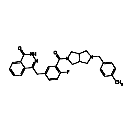 Cc1ccc(CN2CC3CN(C(=O)c4cc(Cc5n[nH]c(=O)c6ccccc56)ccc4F)CC3C2)cc1